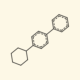 c1ccc(-c2ccc(C3CCCCC3)cc2)cc1